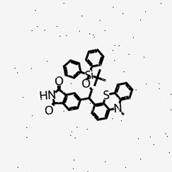 CN1c2ccccc2Sc2c(C(CO[Si](c3ccccc3)(c3ccccc3)C(C)(C)C)c3ccc4c(c3)C(=O)NC4=O)cccc21